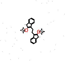 C[Si](C)(C)OC1=C(CCC2=C(O[Si](C)(C)C)[CH]c3ccccc32)c2ccccc2[CH]1